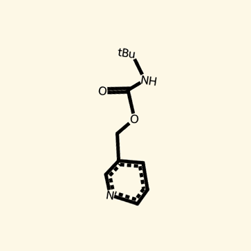 CC(C)(C)NC(=O)OCc1cccnc1